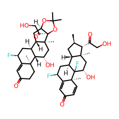 CC1(C)O[C@@H]2C[C@H]3[C@@H]4C[C@H](F)C5=CC(=O)CC[C@]5(C)[C@H]4[C@@H](O)C[C@]3(C)[C@]2(C(=O)CO)O1.C[C@@H]1C[C@H]2[C@@H]3C[C@H](F)C4=CC(=O)C=C[C@]4(C)[C@@]3(F)[C@@H](O)C[C@]2(C)[C@H]1C(=O)CO